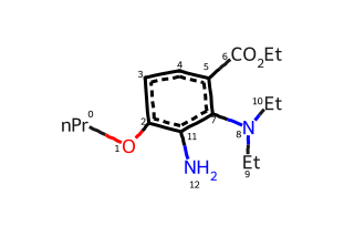 CCCOc1ccc(C(=O)OCC)c(N(CC)CC)c1N